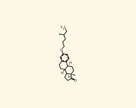 C[C@]12CC[C@@H]3c4ccc(OCCCC(I)CC(F)(F)F)cc4CC[C@H]3[C@@H]1CCC2=O